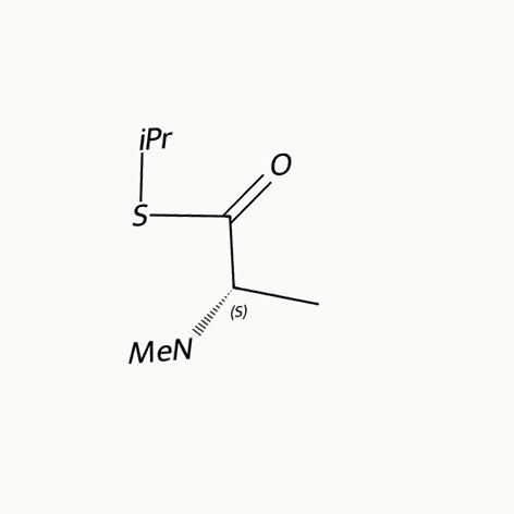 CN[C@@H](C)C(=O)SC(C)C